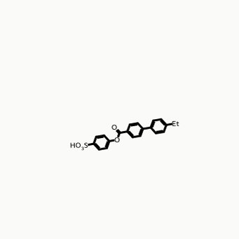 CCc1ccc(-c2ccc(C(=O)Oc3ccc(S(=O)(=O)O)cc3)cc2)cc1